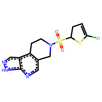 O=S(=O)(C1CC=C(Cl)S1)N1CCc2c(cnc3[nH]ncc23)C1